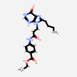 CCCCc1nc2c(=O)[nH]cnc2n1CCC(=O)Nc1ccc(C(=O)OCC)cc1